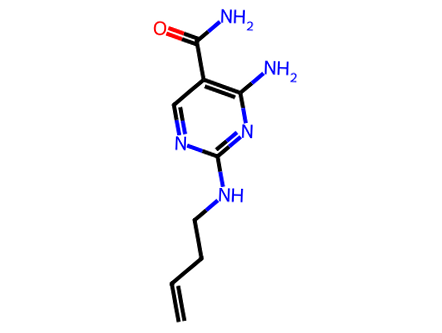 C=CCCNc1ncc(C(N)=O)c(N)n1